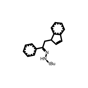 CC(C)(C)NN=C(CC1C=Cc2ccccc21)c1ccccc1